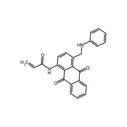 C=CC(=O)Nc1ccc(CNc2ccccc2)c2c1C(=O)c1ccccc1C2=O